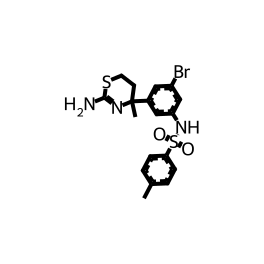 Cc1ccc(S(=O)(=O)Nc2cc(Br)cc(C3(C)CCSC(N)=N3)c2)cc1